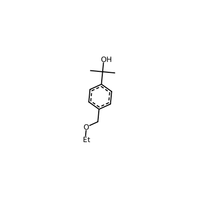 CCOCc1ccc(C(C)(C)O)cc1